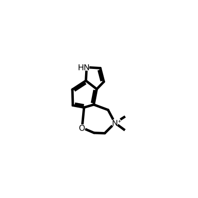 C[N+]1(C)CCOc2ccc3[nH]ccc3c2C1